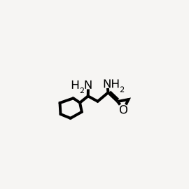 NC(CC(N)C1CCCCC1)=C1CO1